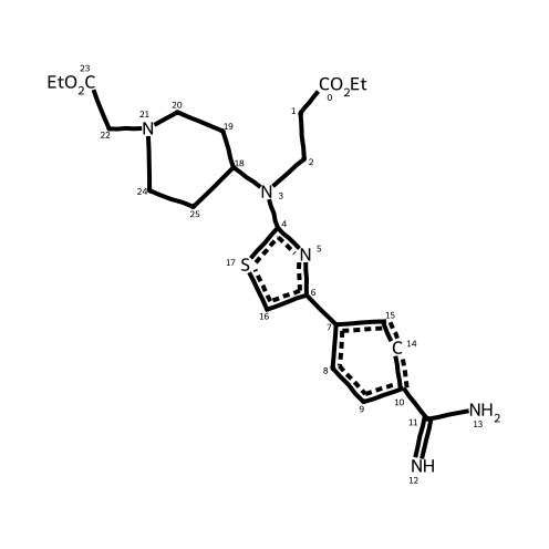 CCOC(=O)CCN(c1nc(-c2ccc(C(=N)N)cc2)cs1)C1CCN(CC(=O)OCC)CC1